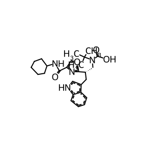 CC(C)(C)N(C[C@H](Cc1c[nH]c2ccccc12)c1nc(C(=O)NC2CCCCC2)co1)C(=O)O